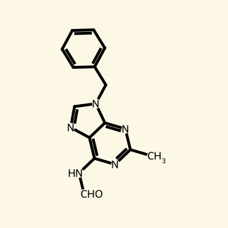 Cc1nc(NC=O)c2ncn(Cc3ccccc3)c2n1